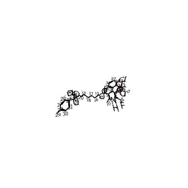 COC(=O)C1=C(CF)NC(C)=C(C(=O)OCCCCCCOS(=O)(=O)c2ccc(C)cc2)C1c1c(F)ccc(Cl)c1C(F)(F)F